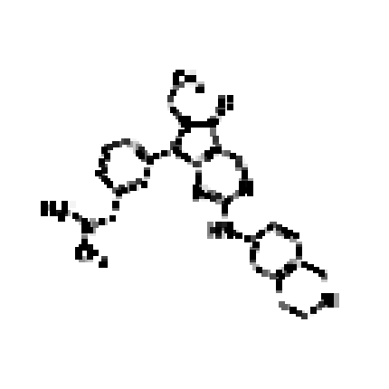 CCn1c(=O)c2cnc(Nc3ccc4c(c3)CCNC4)nc2n1-c1cccc(CN(C)C)c1